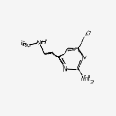 CCC(C)NCc1cc(Cl)nc(N)n1